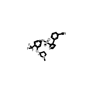 CN1CC[C@@H](Oc2cc(NS(=O)(=O)c3sccc3-c3cccc(C#N)c3)ccc2C(F)(F)F)C1